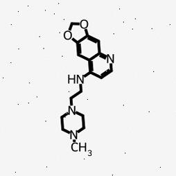 CN1CCN(CCNc2ccnc3cc4c(cc23)OCO4)CC1